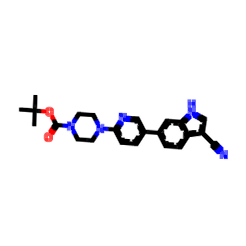 CC(C)(C)OC(=O)N1CCN(c2ccc(-c3ccc4c(C#N)c[nH]c4c3)cn2)CC1